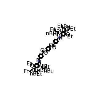 CCCCC(CC)CNc1cc(N(CC(CC)CCCC)CC(CC)CCCC)c(OCC)cc1/N=N/c1ccc(C(=O)Oc2ccc(OC(=O)c3ccc(/N=N/c4cc(OCC)c(N(CC(CC)CCCC)CC(CC)CCCC)cc4NCC(CC)CCCC)cc3)cc2)cc1